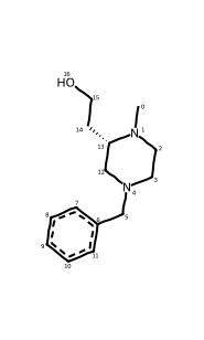 CN1CCN(Cc2ccccc2)C[C@@H]1CCO